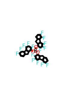 Fc1ccc2c(c1F)-c1c(F)c(F)c(F)c(OB(Oc3c(F)c(F)c(F)c4c3Cc3ccc(F)c(F)c3-4)Oc3c(F)c(F)c(F)c4c3Cc3ccc(F)c(F)c3-4)c1C2